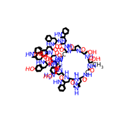 C[C@@H](O)C1NC(=O)CNC(=O)C(Cc2c[nH]cn2)NC(=O)C(Cc2c[nH]c3ccccc23)NC(=O)C(CC(N)=O)NC(=O)CNC(=O)CC(C(=O)NC(Cc2c[nH]c3ccccc23)C(=O)NC(Cc2ccccc2)C(=O)NC(Cc2ccccc2)C(=O)NC(CC(N)=O)C(=O)NC(Cc2ccc(O)cc2)C(=O)NC(Cc2ccc(O)cc2)C(=O)NC(Cc2c[nH]c3ccccc23)C(=O)O)NC(=O)C2CCCN2C(=O)C(CO)NC1=O